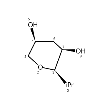 CC(C)[C@H]1OC[C@@H](O)C[C@H]1O